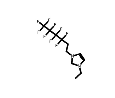 CCN1C=CN(CCC(F)(F)C(F)(F)C(F)(F)C(F)(F)F)C1